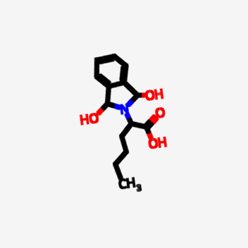 CCCCC(C(=O)O)N1C(O)c2ccccc2C1O